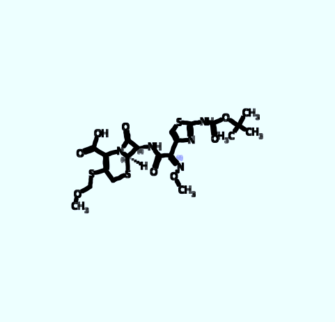 COCSC1=C(C(=O)O)N2C(=O)[C@@H](NC(=O)/C(=N\OC)c3csc(NC(=O)OC(C)(C)C)n3)[C@H]2SC1